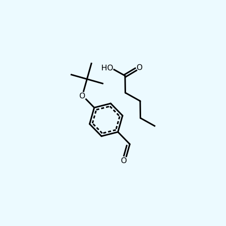 CC(C)(C)Oc1ccc(C=O)cc1.CCCCC(=O)O